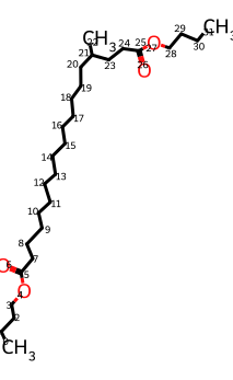 CCCCOC(=O)CCCCCCCCCCCCCCC(C)CCC(=O)OCCCC